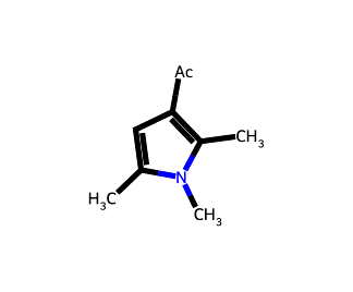 CC(=O)c1cc(C)n(C)c1C